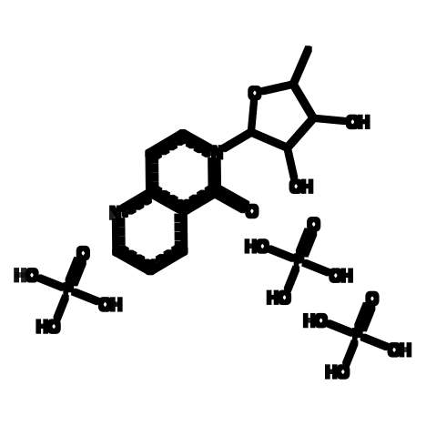 CC1OC(n2ccc3ncccc3c2=O)C(O)C1O.O=P(O)(O)O.O=P(O)(O)O.O=P(O)(O)O